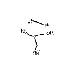 C[CH2][Al].OP(O)O